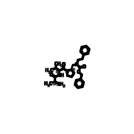 CC(C)[C@H](NC(=O)[C@H](C)N)C(=O)N1CCC[C@H]1CN(CCc1ccccc1)C(=O)OCc1ccccc1